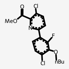 CCCCOc1c(Cl)ccc(-c2ccc(Cl)c(C(=O)OC)n2)c1F